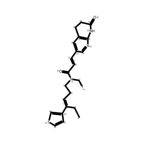 CC/C(=C\CCN(CI)C(=O)/C=C/c1cnc2c(c1)CCC(=O)N2)c1ccsc1